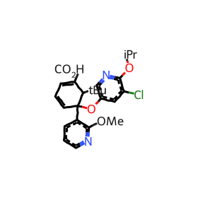 COc1ncccc1C1(Oc2cnc(OC(C)C)c(Cl)c2)C=CC=C(C(=O)O)C1C(C)(C)C